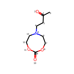 CC(=O)CCN1CCOC(=O)OCC1